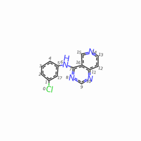 Clc1cccc(Nc2ncnc3ccncc23)c1